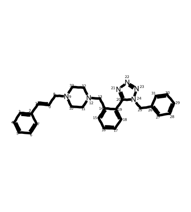 C(=Cc1ccccc1)CN1CCN(Cc2ccccc2-c2nnnn2Cc2ccccc2)CC1